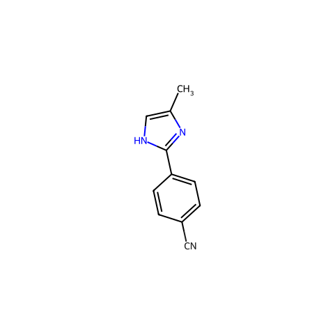 Cc1c[nH]c(-c2ccc(C#N)cc2)n1